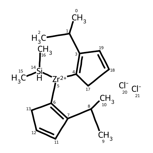 CC(C)C1=[C]([Zr+2]([C]2=C(C(C)C)C=CC2)[SiH](C)C)CC=C1.[Cl-].[Cl-]